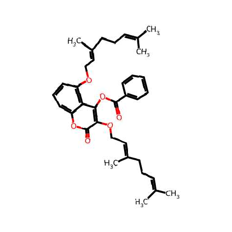 CC(C)=CCC/C(C)=C/COc1c(OC(=O)c2ccccc2)c2c(OC/C=C(\C)CCC=C(C)C)cccc2oc1=O